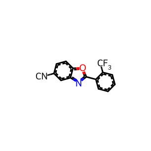 [C-]#[N+]c1ccc2oc(-c3ccccc3C(F)(F)F)nc2c1